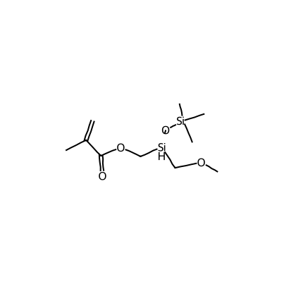 C=C(C)C(=O)OC[SiH](COC)O[Si](C)(C)C